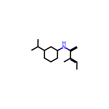 C=C(NC1CCCC(C(C)C)C1)/C(C)=C/C